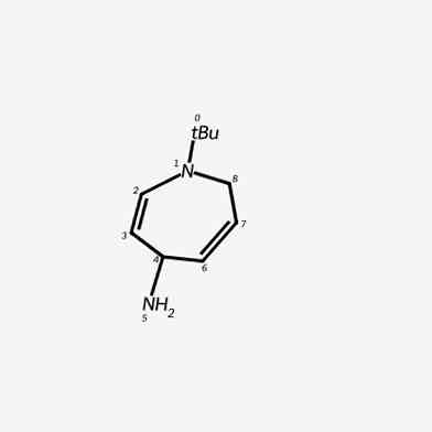 CC(C)(C)N1C=CC(N)C=CC1